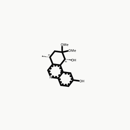 COC1(OC)C[C@@H](C)c2cnc3ccc(O)cc3c2[C@H]1O